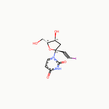 O=c1ccn([C@@]2(C#CI)C[C@H](O)[C@@H](CO)O2)c(=O)[nH]1